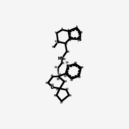 CN1CCc2ccsc2C1CNCC[C@@]1(c2ccccn2)CCOC2(CCCC2)C1